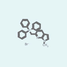 Cn1ccc2ccc(C[P+](c3ccccc3)(c3ccccc3)c3ccccc3)nc21.[Br-]